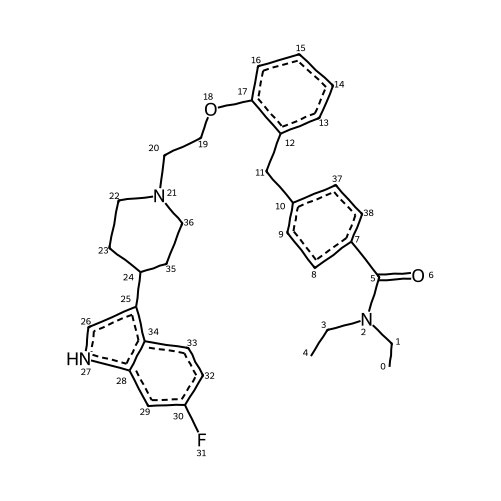 CCN(CC)C(=O)c1ccc(Cc2ccccc2OCCN2CCC(c3c[nH]c4cc(F)ccc34)CC2)cc1